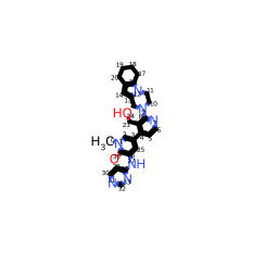 Cn1cc(-c2ccnc(N3CCn4c(cc5c4CCCC5)C3)c2CO)cc(Nc2ccncn2)c1=O